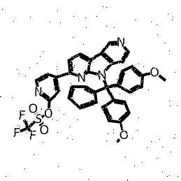 COc1ccc(C(c2ccccc2)(c2ccc(OC)cc2)n2c3ccncc3c3ccc(-c4ccnc(OS(=O)(=O)C(F)(F)F)c4)nc32)cc1